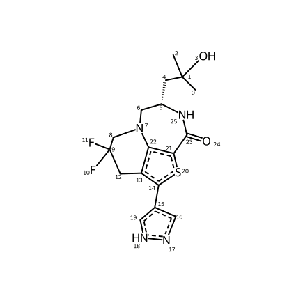 CC(C)(O)C[C@H]1CN2CC(F)(F)Cc3c(-c4cn[nH]c4)sc(c32)C(=O)N1